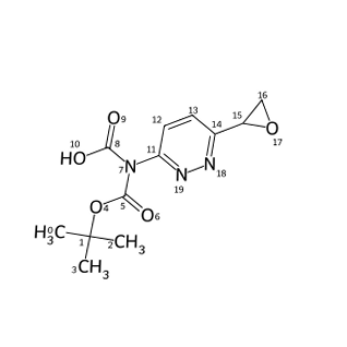 CC(C)(C)OC(=O)N(C(=O)O)c1ccc(C2CO2)nn1